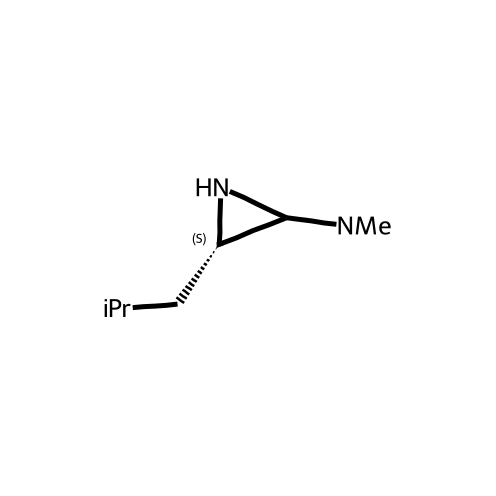 CNC1N[C@H]1CC(C)C